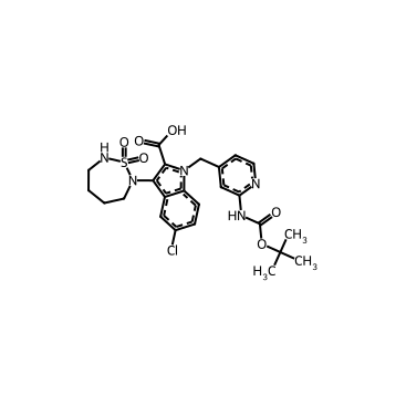 CC(C)(C)OC(=O)Nc1cc(Cn2c(C(=O)O)c(N3CCCCNS3(=O)=O)c3cc(Cl)ccc32)ccn1